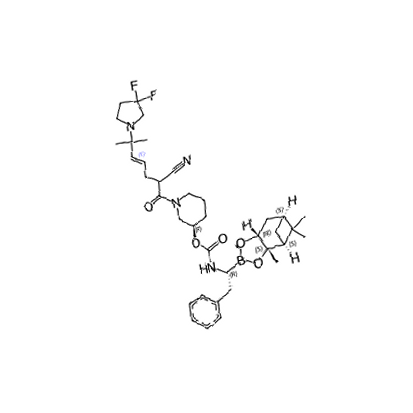 CC1(C)[C@@H]2C[C@H]3OB([C@H](Cc4ccccc4)NC(=O)O[C@@H]4CCCN(C(=O)C(C#N)C/C=C/C(C)(C)N5CCC(F)(F)C5)C4)O[C@@]3(C)[C@H]1C2